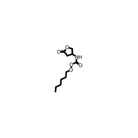 CCCCCCOOC(=O)NC1COC(=O)C1